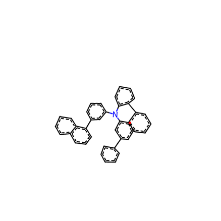 c1ccc(-c2cccc(N(c3cccc(-c4cccc5ccccc45)c3)c3ccccc3-c3ccccc3)c2)cc1